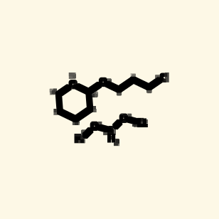 CCO[SiH2]OCC.ClCCCOC1CCCCO1